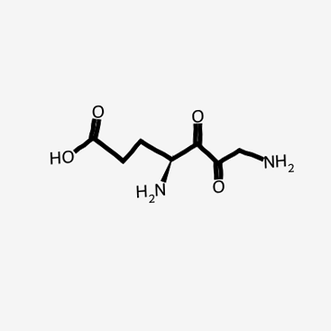 NCC(=O)C(=O)[C@@H](N)CCC(=O)O